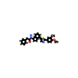 CC(C)Oc1ccc(-c2ncc(-c3cccc4c3CC[C@H]4NC(=O)Cc3ccccc3)s2)cc1C#N